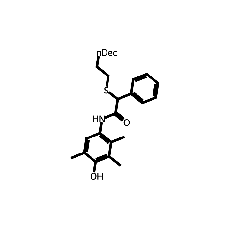 CCCCCCCCCCCCSC(C(=O)Nc1cc(C)c(O)c(C)c1C)c1ccccc1